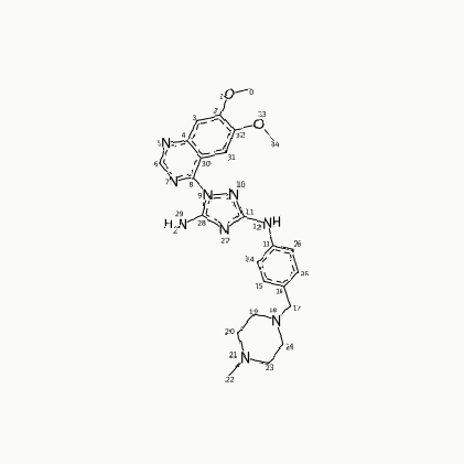 COc1cc2ncnc(-n3nc(Nc4ccc(CN5CCN(C)CC5)cc4)nc3N)c2cc1OC